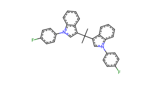 CC(C)(c1cn(-c2ccc(F)cc2)c2ccccc12)c1cn(-c2ccc(F)cc2)c2ccccc12